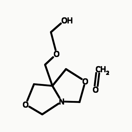 C=O.OCOCC12COCN1COC2